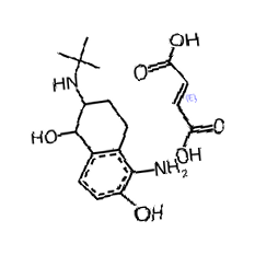 CC(C)(C)NC1CCc2c(ccc(O)c2N)C1O.O=C(O)/C=C/C(=O)O